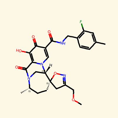 COCC1=NO[C@@]2(CC[C@H](C)N3C[C@@H]2n2cc(C(=O)NCc4ccc(C)cc4F)c(=O)c(O)c2C3=O)C1